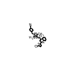 Cc1nn(Cc2ccc(C#N)cc2)c(C)c1NC(=O)c1cc(-c2ccc(Cl)s2)nc2ccccc12